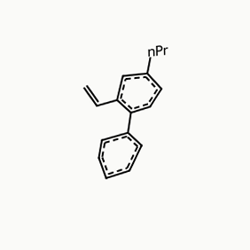 C=Cc1cc(CCC)ccc1-c1ccccc1